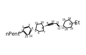 CCCCCc1ccc([C@H]2CC[C@H](C#CC=C[C@H]3CC[C@H](CC)CC3)CC2)cc1